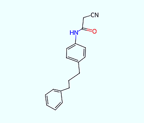 N#CCC(=O)Nc1ccc(CCCc2ccccc2)cc1